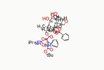 CC(=O)O[C@@]12CO[C@@H]1C[C@H](O)[C@@]1(C)C(=O)[C@H](O)C3=C(C)[C@@H](OC(=O)[C@H](OC(=O)CNC(C)C)[C@@H](NC(=O)OC(C)(C)C)c4ccccc4)C[C@@](O)([C@@H](OC(=O)c4ccccc4)[C@H]21)C3(C)C